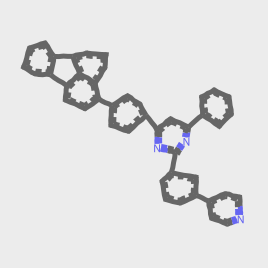 c1ccc(-c2cc(-c3ccc(-c4ccc5c6c(cccc46)-c4ccccc4-5)cc3)nc(-c3cccc(-c4ccncc4)c3)n2)cc1